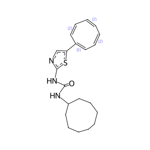 O=C(Nc1ncc(C2=C/C=C\C=C/C=C\2)s1)NC1CCCCCCCC1